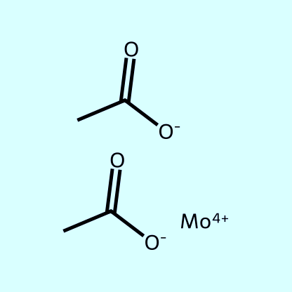 CC(=O)[O-].CC(=O)[O-].[Mo+4]